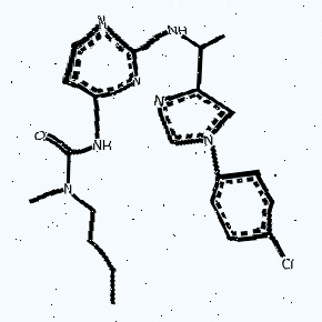 CCCCN(C)C(=O)Nc1ccnc(NC(C)c2cn(-c3ccc(Cl)cc3)cn2)n1